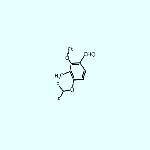 CCOc1c(C=O)ccc(OC(F)F)c1C